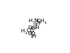 CC(OC(=O)NCCCC(C)(N)C(F)F)OC(=O)C(C)C